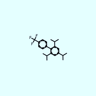 CC(C)c1cc(C(C)C)c(-c2ccc(C(F)(F)F)cc2)c(C(C)C)c1